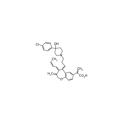 C=C1COc2ccc(C(=C)C(=O)O)cc2C(=C/CCN2CCC(O)(c3ccc(Cl)cc3)CC2)/C1=C/C=C\C